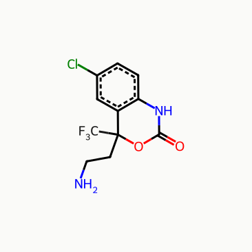 NCCC1(C(F)(F)F)OC(=O)Nc2ccc(Cl)cc21